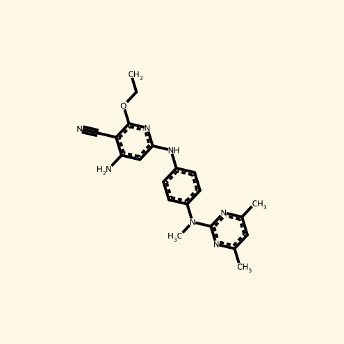 CCOc1nc(Nc2ccc(N(C)c3nc(C)cc(C)n3)cc2)cc(N)c1C#N